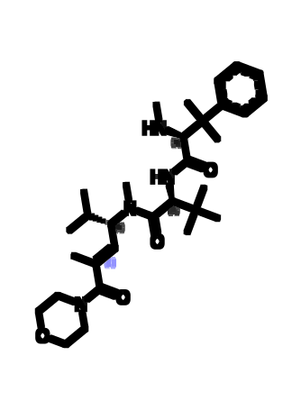 CN[C@H](C(=O)N[C@H](C(=O)N(C)[C@H](/C=C(\C)C(=O)N1CCOCC1)C(C)C)C(C)(C)C)C(C)(C)c1ccccc1